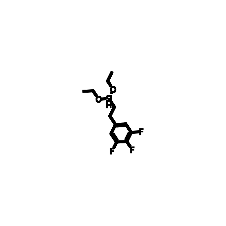 CCO[SiH](CCc1cc(F)c(F)c(F)c1)OCC